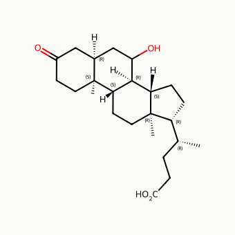 C[C@H](CCC(=O)O)[C@H]1CC[C@H]2[C@@H]3C(O)C[C@@H]4CC(=O)CC[C@]4(C)[C@H]3CC[C@]12C